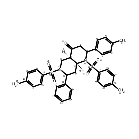 Cc1ccc(C2CC(=O)[C@@H]3CN(S(=O)(=O)c4ccc(C)cc4)C(c4ccccc4)C[C@@H]3N2S(=O)(=O)c2ccc(C)cc2)cc1